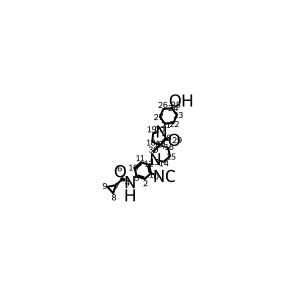 [C-]#[N+]c1cc(NC(=O)C2CC2)ccc1N1CCC[C@]2(CCN([C@H]3CC[C@H](O)CC3)C2=O)C1